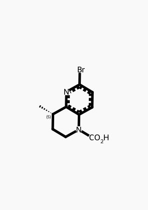 C[C@H]1CCN(C(=O)O)c2ccc(Br)nc21